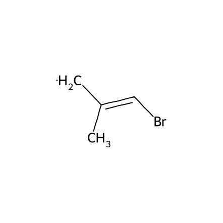 [CH2]C(C)=CBr